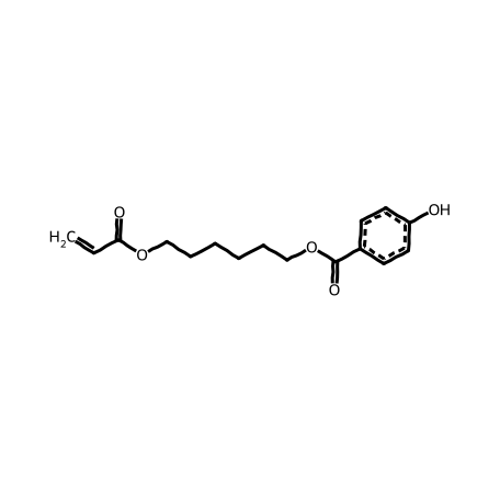 C=CC(=O)OCCCCCCOC(=O)c1ccc(O)cc1